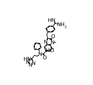 Cl.Cn1c(=O)c(Cc2ccc(C(=N)N)cc2)nc2cc(C(=O)N(CCc3nnn[nH]3)c3ccccc3)ccc21